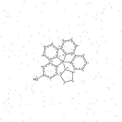 Oc1ccc(P(c2ccccc2)(c2ccccc2)(c2ccccc2)C2CCCC2)cc1